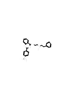 CCN(CC)c1ccc(-c2nc(OCCNCCc3ccccc3)c3ccccc3n2)cc1